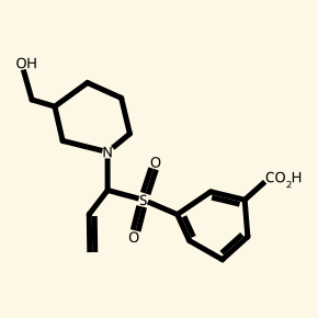 C=CC(N1CCCC(CO)C1)S(=O)(=O)c1cccc(C(=O)O)c1